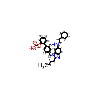 CCCCc1nc2ccc(NCCC3CCCCC3)cc2n1Cc1ccc(-c2ccccc2OC(=O)O)cc1